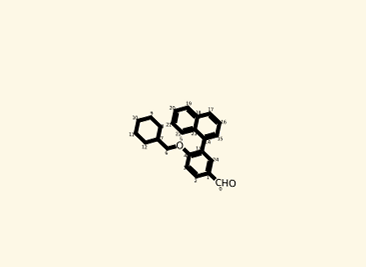 O=Cc1ccc(OCC2CCCCC2)c(-c2cccc3ccccc23)c1